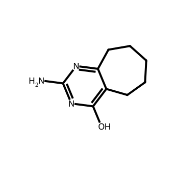 Nc1nc(O)c2c(n1)CCCCC2